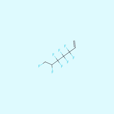 C=CC(F)(F)C(F)(F)C(F)(F)C(F)CF